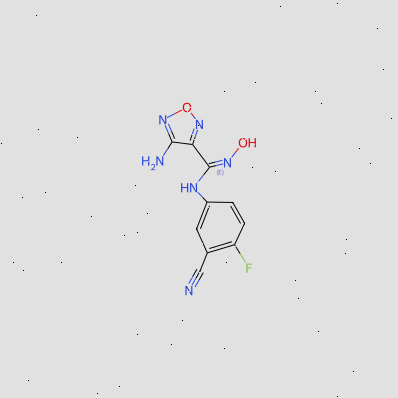 N#Cc1cc(N/C(=N/O)c2nonc2N)ccc1F